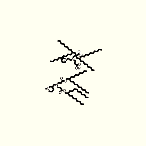 CCCCCCCCCCC(CCCCCCCC)CC(CC(CCCCCCCC)CCCCCCCCCC)(CN(CCC(=O)O)CCN1CCCC1)C(=O)O.CCCCCCCCCCC(CCCCCCCC)COC(=O)CCN(CCC(=O)OCC(CCCCCCCC)CCCCCCCCCC)CC1CCCN(C)C1